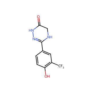 O=C1CNC(c2ccc(O)c(C(F)(F)F)c2)=NN1